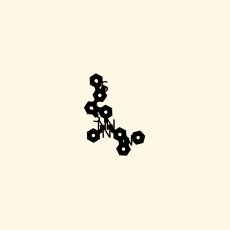 c1ccc(-c2nc(-c3ccc4c(c3)c3ccccc3n4-c3ccccc3)nc(-c3cccc4c3sc3cccc(-c5ccc6sc7ccccc7c6c5)c34)n2)cc1